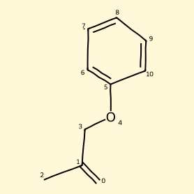 C=C(C)COc1c[c]ccc1